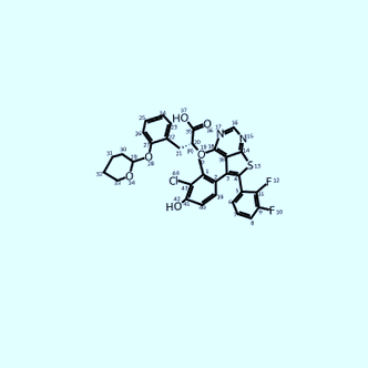 Cc1c(-c2c(-c3cccc(F)c3F)sc3ncnc(O[C@H](Cc4ccccc4OC4CCCCO4)C(=O)O)c23)ccc(O)c1Cl